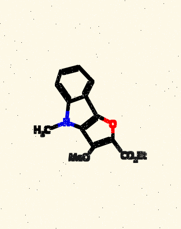 CCOC(=O)c1oc2c3ccccc3n(C)c2c1OC